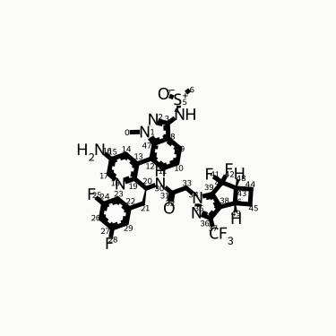 Cn1nc(N[S+](C)[O-])c2cccc(-c3cc(N)cnc3[C@H](Cc3cc(F)cc(F)c3)NC(=O)Cn3nc(C(F)(F)F)c4c3C(F)(F)[C@@H]3CC[C@H]43)c21